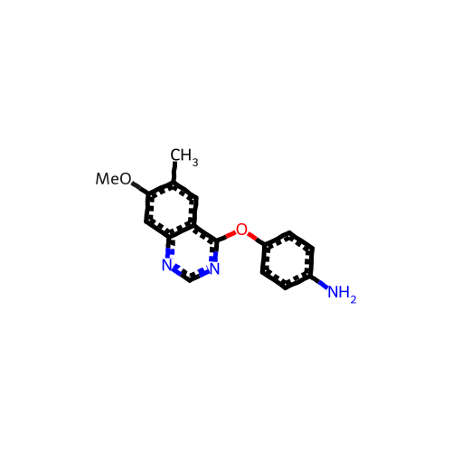 COc1cc2ncnc(Oc3ccc(N)cc3)c2cc1C